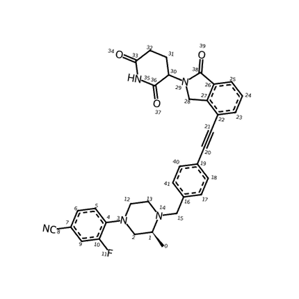 C[C@H]1CN(c2ccc(C#N)cc2F)CCN1Cc1ccc(C#Cc2cccc3c2CN(C2CCC(=O)NC2=O)C3=O)cc1